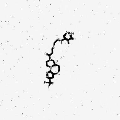 Cc1c(N[C@@H](C)COCCC(=O)N2CCN3c4ncc(C(F)(F)F)cc4OCC[C@@H]3C2)cn[nH]c1=O